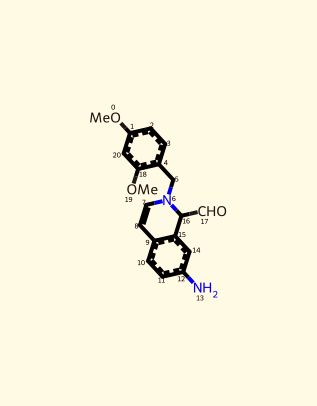 COc1ccc(CN2C=Cc3ccc(N)cc3C2C=O)c(OC)c1